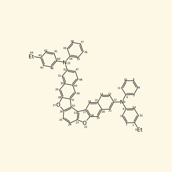 CCc1ccc(N(c2ccccc2)c2ccc3cc4c(cc3c2)oc2ccc3oc5cc6cc(N(c7ccccc7)c7ccc(CC)cc7)ccc6cc5c3c24)cc1